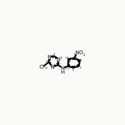 O=[N+]([O-])c1cccc(Nc2ncnc(Cl)n2)c1